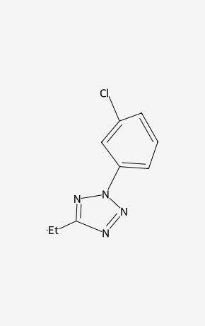 C[CH]c1nnn(-c2cccc(Cl)c2)n1